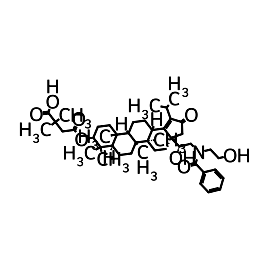 CC(C)C1=C2[C@H]3CC[C@@H]4[C@@]5(C)CC[C@H](OC(=O)CC(C)(C)C(=O)O)C(C)(C)[C@@H]5CC[C@@]4(C)[C@]3(C)CC[C@@]2([C@@H](O)CN(CCO)C(=O)c2ccccc2)CC1=O